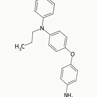 CCCN(c1ccccc1)c1ccc(Oc2ccc(N)cc2)cc1